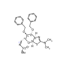 CN(C)C1=N[C@@H]2[C@@H](OCc3ccccc3)[C@H](OCc3ccccc3)[C@@H](/C=N\[S@@+]([O-])C(C)(C)C)O[C@@H]2S1